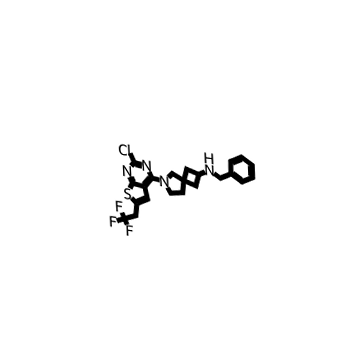 FC(F)(F)Cc1cc2c(N3CCC4(CC(NCc5ccccc5)C4)C3)nc(Cl)nc2s1